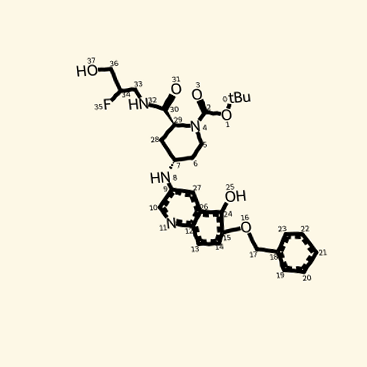 CC(C)(C)OC(=O)N1CC[C@H](Nc2cnc3ccc(OCc4ccccc4)c(O)c3c2)C[C@H]1C(=O)NCC(F)CO